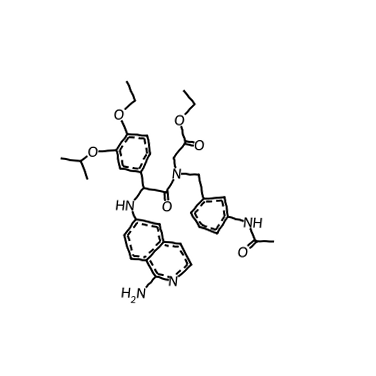 CCOC(=O)CN(Cc1cccc(NC(C)=O)c1)C(=O)C(Nc1ccc2c(N)nccc2c1)c1ccc(OCC)c(OC(C)C)c1